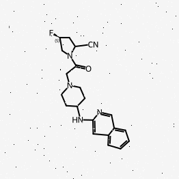 N#CC1C[C@H](F)CN1C(=O)CN1CCC(Nc2cc3ccccc3cn2)CC1